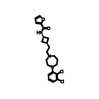 O=C(N[C@H]1C[C@H](CCN2CCCN(c3cccc(Cl)c3Cl)CC2)C1)c1ccco1